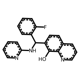 Oc1c(C(Nc2ccccn2)c2ccccc2F)ccc2cccnc12